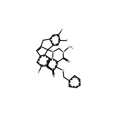 CN1CN(C23C(=Cc4cc(F)c(F)cc42)Cc2cc(F)c(F)cc23)n2ccc(=O)c(OCc3ccccc3)c2C1=O